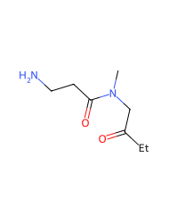 CCC(=O)CN(C)C(=O)CCN